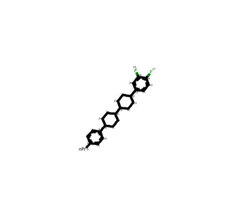 CCCc1ccc(C2CCC(C3CCC(c4ccc(F)c(F)c4)CC3)CC2)cc1